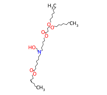 CCC/C=C\CCOC(=O)CCCCCCCN(CCO)CCCCCCOC(=O)CCC(OCCCCCCCC)OCCCCCCCC